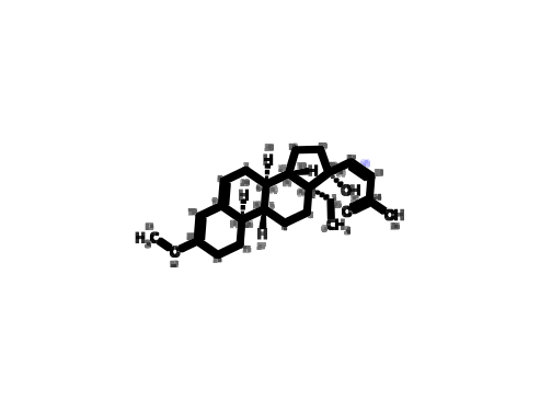 CC[C@]12CC[C@H]3[C@@H](CC=C4C=C(OC)CC[C@@H]43)[C@@H]1CC[C@@]2(O)/C=C\C(=O)O